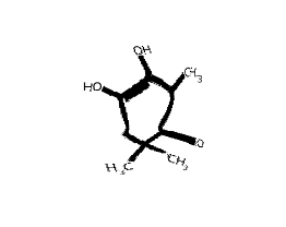 CC1C(=O)C(C)(C)CC(O)=C1O